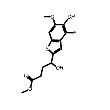 COC(=O)CCC(O)c1cc2c(F)c(O)c(OC)cc2s1